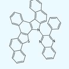 c1ccc(-c2nc3ccccc3nc2-n2c3ccc4ccccc4c3c3c4ccccc4c4c5ccc6ccccc6c5sc4c32)cc1